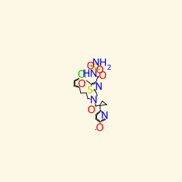 COc1ccc(C2(C(=O)N(CCCc3ccc(Cl)o3)Cc3nc(C(=O)NS(N)(=O)=O)c(C)s3)CC2)nc1